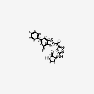 O=C(c1nnc(NC2CCNC2=O)o1)c1nc2c(F)cc(-c3ccccc3)cc2s1